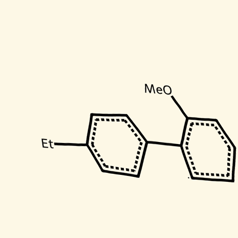 CCc1ccc(-c2[c]cccc2OC)cc1